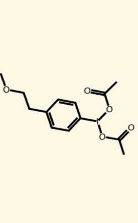 COCCc1ccc(I(OC(C)=O)OC(C)=O)cc1